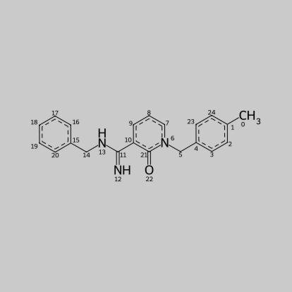 Cc1ccc(Cn2cccc(C(=N)NCc3ccccc3)c2=O)cc1